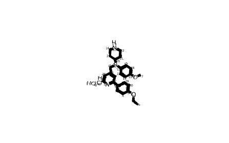 CCOc1ccc(-c2cc(CN(c3ccc(OC)cc3)C3CCNCC3)ccn2)cc1.Cl.Cl